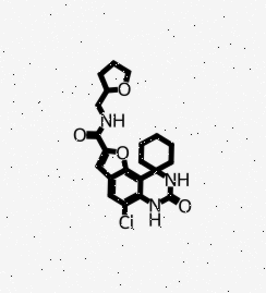 O=C1Nc2c(Cl)cc3cc(C(=O)NCC4CCCO4)oc3c2C2(CCCCC2)N1